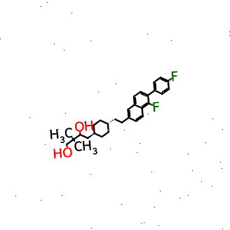 CC(C)(CO)C(O)C[C@H]1CC[C@H](CCc2ccc3c(F)c(-c4ccc(F)cc4)ccc3c2)CC1